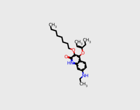 CC=C(CC)Oc1c(OCCCCCCCC)c(=O)[nH]c2cc(NCC)ccc12